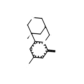 O=c1cc(I)cc2n1CC1CNC[C@@H]2C1